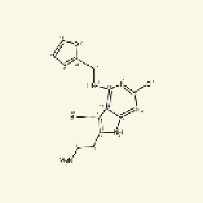 CNCCc1[nH]c2nc(Cl)nc(NCc3ccco3)c2c1Br